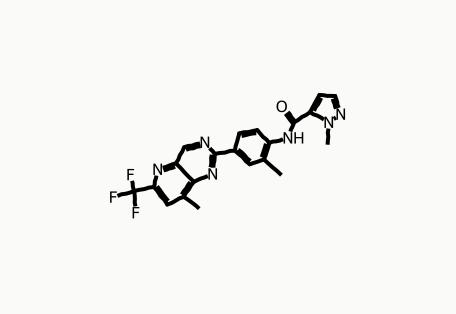 Cc1cc(-c2ncc3nc(C(F)(F)F)cc(C)c3n2)ccc1NC(=O)c1ccnn1C